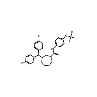 C=C(Nc1ccc(OC(F)(F)F)cc1)N1CCCCC(C(c2ccc(F)cc2)c2ccc(F)cc2)C1